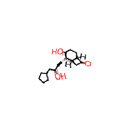 O=C1C[C@H]2[C@H](C#C[C@@H](O)CC3CCCC3)[C@@H](O)CC[C@@H]12